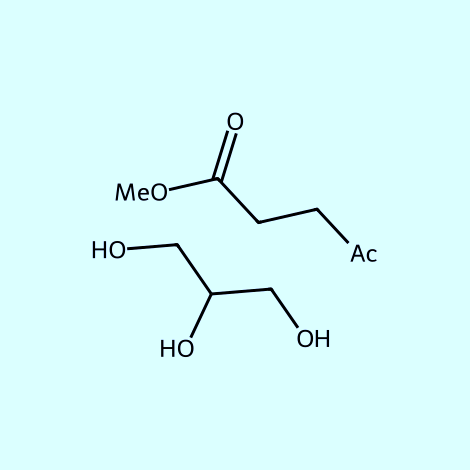 COC(=O)CCC(C)=O.OCC(O)CO